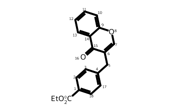 CCOC(=O)c1ccc(Cc2coc3ccccc3c2=O)cc1